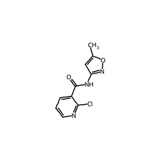 Cc1cc(NC(=O)c2cccnc2Cl)no1